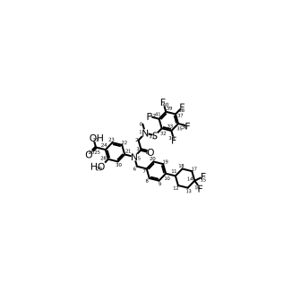 CN(CC(=O)N(Cc1ccc(C2CCC(F)(F)CC2)cc1)c1ccc(C(=O)O)c(O)c1)Sc1c(F)c(F)c(F)c(F)c1F